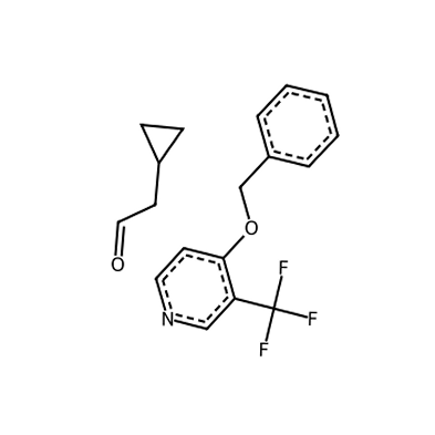 FC(F)(F)c1cnccc1OCc1ccccc1.O=CCC1CC1